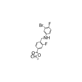 COC(=O)c1ccc(CNc2ccc(F)c(Br)c2)c(F)c1